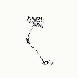 COCCCCCCCCC/N=N\CCCCCC/C(C)=C(\C)[Si](C)(C)C